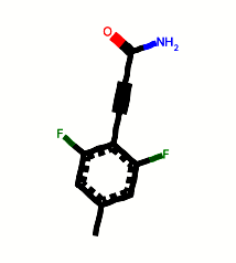 Cc1cc(F)c(C#CC(N)=O)c(F)c1